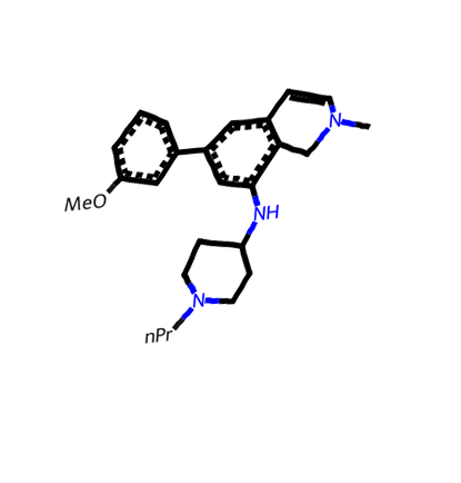 CCCN1CCC(Nc2cc(-c3cccc(OC)c3)cc3c2CN(C)C=C3)CC1